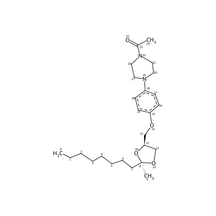 CCCCCCCC[C@]1(C)OC[C@H](COc2ccc(N3CCN(C(C)=O)CC3)cc2)O1